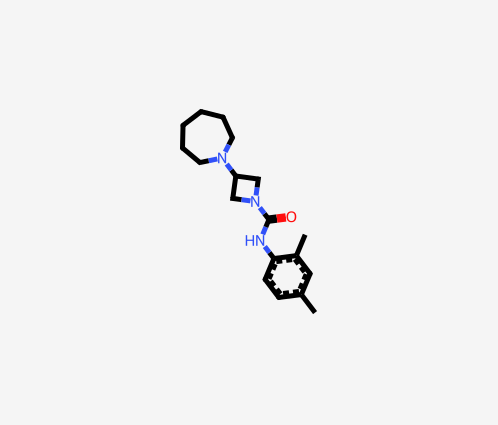 Cc1ccc(NC(=O)N2CC(N3CCCCCC3)C2)c(C)c1